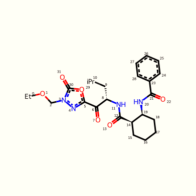 CCOCn1nc(C(=O)[C@H](CC(C)C)NC(=O)[C@@H]2CCCC[C@@H]2NC(=O)c2ccccc2)oc1=O